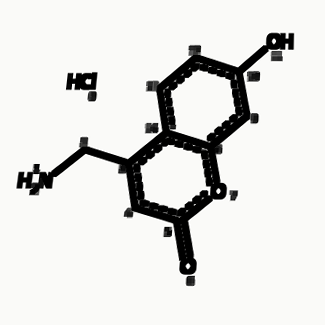 Cl.NCc1cc(=O)oc2cc(O)ccc12